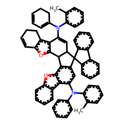 Cc1ccccc1N(C1=CC=CCC1)C1=CC2C(c3oc4c(c31)CCC=C4)c1c(cc(N(c3ccccc3)c3ccccc3C)c3c1oc1ccccc13)C21c2ccccc2-c2ccccc21